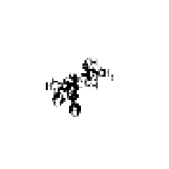 COc1cc(C)[nH]c(=O)c1CNC(=O)c1cc2cc(C3CCOCC3)cn2c(C(C)N2CCOCC2)c1C